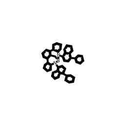 c1ccc(-c2ccc(N3B4Cc5c(cccc5-c5ccccc5N4c4ccc(-c5ccccc5)c5ccccc45)-c4ccccc43)c3ccccc23)cc1